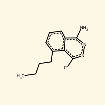 CCCCc1cccc2c(N)nnc(Cl)c12